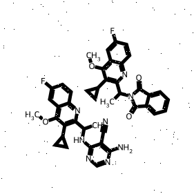 COc1c(C2CC2)c(C(C)N2C(=O)c3ccccc3C2=O)nc2ccc(F)cc12.COc1c(C2CC2)c(C(C)Nc2ncnc(N)c2C#N)nc2ccc(F)cc12